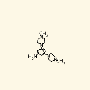 CN1CCN(c2cc(N)cc(N3CCN(C)CC3)n2)CC1